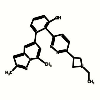 CCN1CC(c2ccc(-c3c(O)cccc3-c3cc(C)n4nc(C)cc4c3)nn2)C1